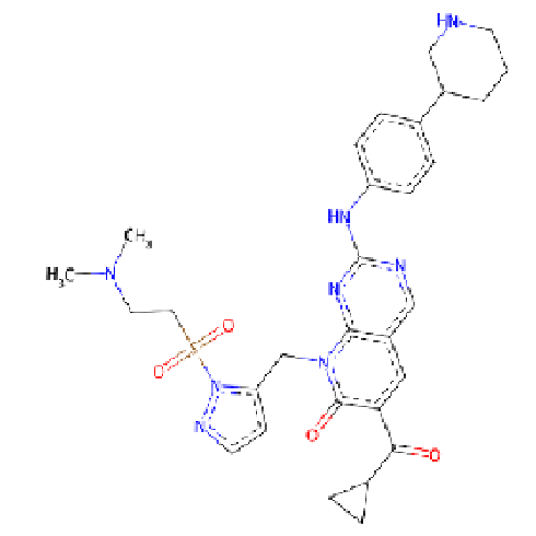 CN(C)CCS(=O)(=O)n1nccc1Cn1c(=O)c(C(=O)C2CC2)cc2cnc(Nc3ccc(C4CCCNC4)cc3)nc21